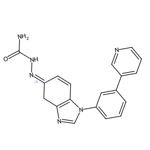 NC(=O)N/N=C1\C=Cc2c(ncn2-c2cccc(-c3cccnc3)c2)C1